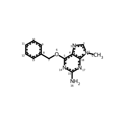 Cn1cnc2c(OCc3ccccc3)nc(N)nc21